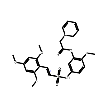 COc1cc(OC)c(/C=C/S(=O)(=O)Nc2ccc(OC)c(OC(=O)CN3C=CC=CC3)c2)c(OC)c1